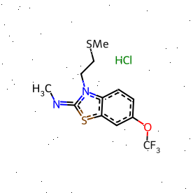 CN=c1sc2cc(OC(F)(F)F)ccc2n1CCSC.Cl